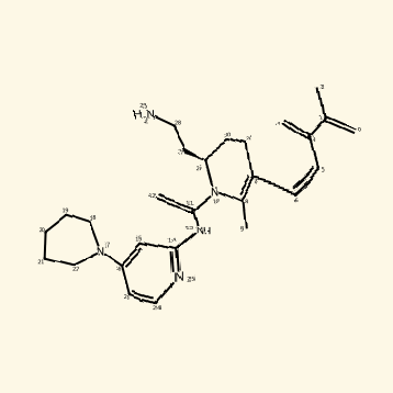 C=C(C)C(=C)/C=C\C1=C(C)N(C(=C)Nc2cc(N3CCCCC3)ccn2)[C@@H](CCN)CC1